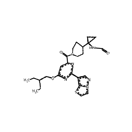 CCC(CC)COc1cc(C(=O)N2CCC(C3(NC=O)CC3)CC2)nc(-c2cnn3ccsc23)n1